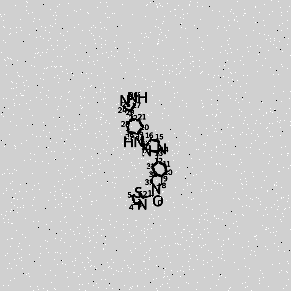 O=C(c1nccs1)N1Cc2ccc(-c3nccc(Nc4ccc(-c5cn[nH]c5)cc4)n3)cc2C1